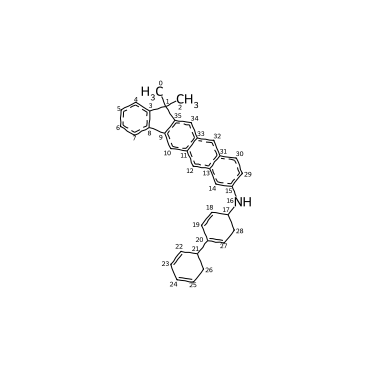 CC1(C)c2ccccc2-c2cc3cc4cc(NC5C=CC(C6C=CC=CC6)=CC5)ccc4cc3cc21